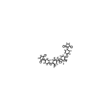 O=C1C=CC(=O)N1c1ccc(Oc2ccc(C(c3ccc(Oc4ccc(N5C(=O)C=CC5=O)cc4)c(F)c3)(C(F)(F)F)C(F)(F)F)cc2F)cc1